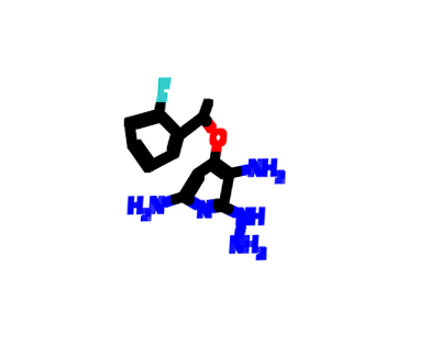 CC(Oc1cc(N)nc(NN)c1N)c1ccccc1F